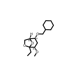 CCC12OC[C@@H](O1)[C@@H](OCC1CCCCC1)C[C@H]2OC